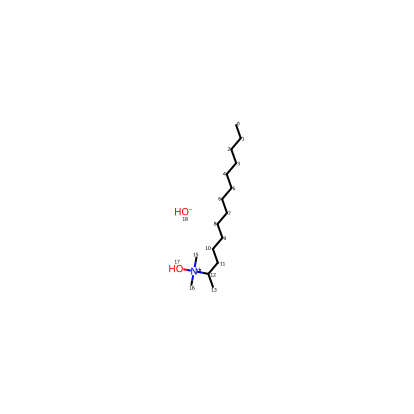 CCCCCCCCCCCCC(C)[N+](C)(C)O.[OH-]